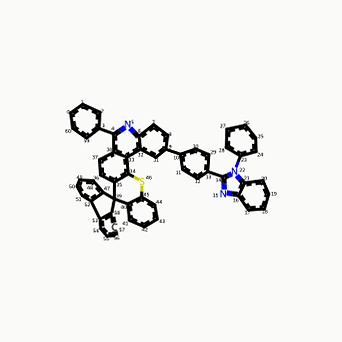 c1ccc(-c2nc3ccc(-c4ccc(-c5nc6ccccc6n5-c5ccccc5)cc4)cc3c3c4c(ccc23)C2(c3ccccc3S4)c3ccccc3-c3ccccc32)cc1